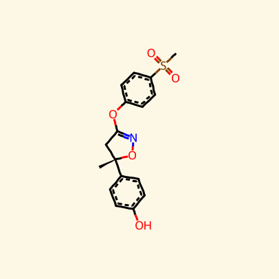 C[C@@]1(c2ccc(O)cc2)CC(Oc2ccc(S(C)(=O)=O)cc2)=NO1